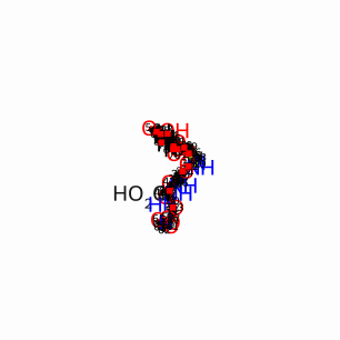 C[C@]12C=CC(=O)C=C1CC[C@@H]1[C@@H]2[C@@H](O)C[C@@]2(C)[C@H]1C[C@H]1O[C@H](c3ccc(Cc4cnc(NC(=O)OCc5ccc(NC(=O)[C@H](CCC(=O)O)NC(=O)CNC(=O)CCC(=O)ON6C(=O)CCC6=O)cc5)s4)cc3)O[C@]12C(=O)CO